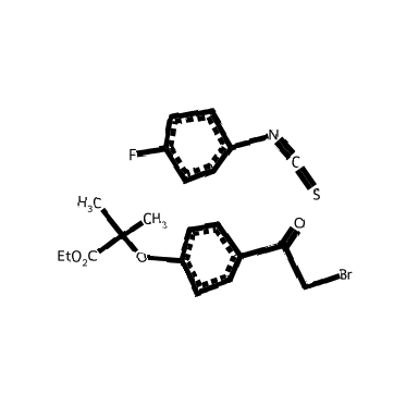 CCOC(=O)C(C)(C)Oc1ccc(C(=O)CBr)cc1.Fc1ccc(N=C=S)cc1